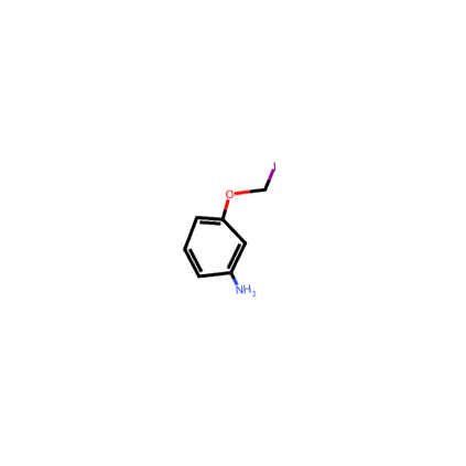 Nc1cccc(OCI)c1